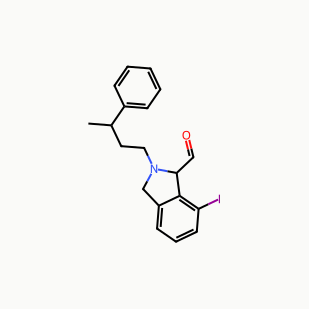 CC(CCN1Cc2cccc(I)c2C1C=O)c1ccccc1